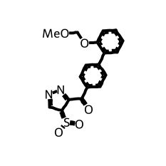 COCOc1ccccc1-c1ccc(C(=O)C2=NN=CC2=S(=O)=O)cc1